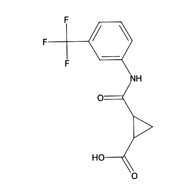 O=C(O)C1CC1C(=O)Nc1cccc(C(F)(F)F)c1